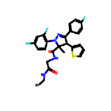 CC(C)CNC(=O)CNC(=O)C1(C)C(c2cccs2)C(c2ccc(F)cc2)=NN1c1ccc(F)cc1F